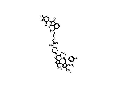 C=C(C(=O)N1CCN(NC(=O)CCCCNc2cccc3c2C(=O)N(C2CCC(=O)NC2=O)C3=O)CC1)[C@@H]1N=C(c2ccc(Cl)cc2)c2c(sc(C)c2C)-n2c(C)nnc21